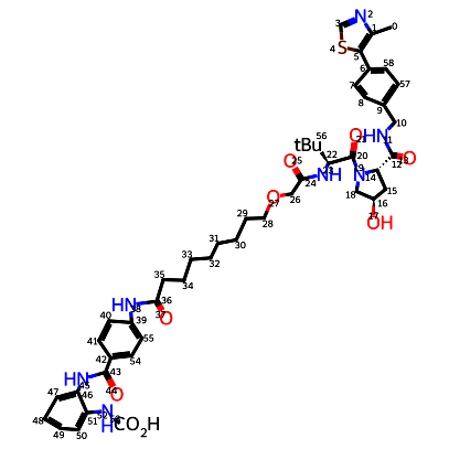 Cc1ncsc1-c1ccc(CNC(=O)[C@@H]2C[C@@H](O)CN2C(=O)[C@@H](NC(=O)COCCCCCCCCC(=O)Nc2ccc(C(=O)Nc3ccccc3NC(=O)O)cc2)C(C)(C)C)cc1